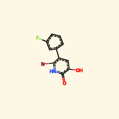 O=c1[nH]c(Br)c(-c2cccc(F)c2)cc1O